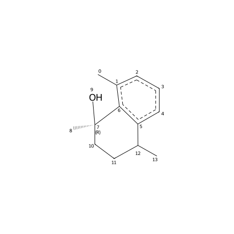 Cc1cccc2c1[C@](C)(O)CCC2C